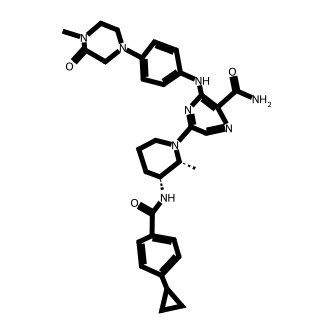 C[C@@H]1[C@H](NC(=O)c2ccc(C3CC3)cc2)CCCN1c1cnc(C(N)=O)c(Nc2ccc(N3CCN(C)C(=O)C3)cc2)n1